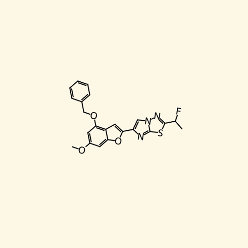 COc1cc(OCc2ccccc2)c2cc(-c3cn4nc(C(C)F)sc4n3)oc2c1